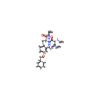 CC(C)C[C@@H](C(=O)N[C@@H](Cc1ccc(OCc2ccccc2)cc1)C(=O)NC(C)(C)C)N(C)C(C)C